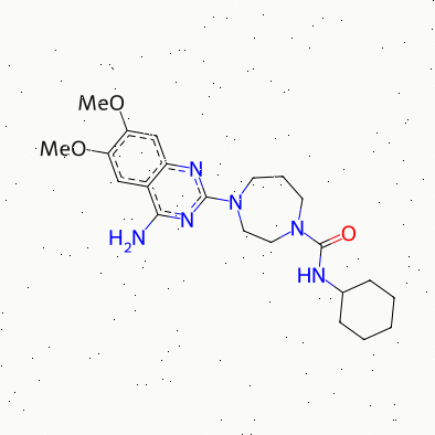 COc1cc2nc(N3CCCN(C(=O)NC4CCCCC4)CC3)nc(N)c2cc1OC